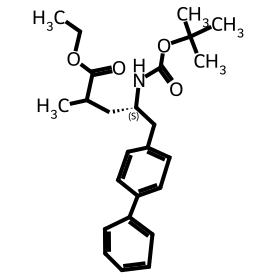 CCOC(=O)C(C)C[C@@H](Cc1ccc(-c2ccccc2)cc1)NC(=O)OC(C)(C)C